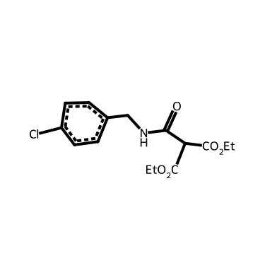 CCOC(=O)C(C(=O)NCc1ccc(Cl)cc1)C(=O)OCC